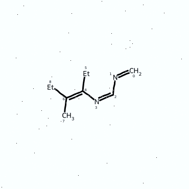 C=N/C=N\C(CC)=C(/C)CC